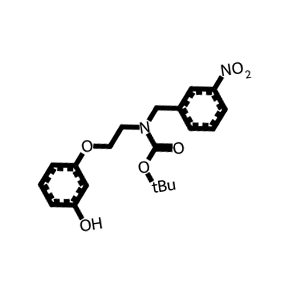 CC(C)(C)OC(=O)N(CCOc1cccc(O)c1)Cc1cccc([N+](=O)[O-])c1